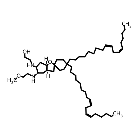 CCCCC/C=C\C/C=C\CCCCCCCCC1(CCCCCCCC/C=C\C/C=C\CCCCC)CCC2(CC1)C[C@H]1C[C@@H](NCCOC)[C@@H](NCCO)C[C@@H]1O2